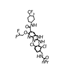 CCCC(=O)NCc1ccc(Cl)c(Nc2nc3nc(OCC(F)F)c(C(=O)N[C@H]4CC[C@H](C(F)(F)F)CC4)cc3[nH]2)c1Cl